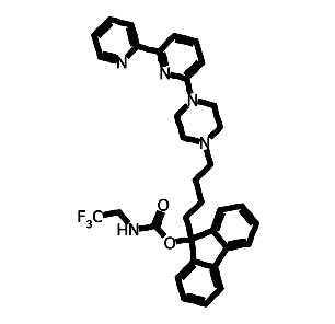 O=C(NCC(F)(F)F)OC1(CCCCN2CCN(c3cccc(-c4ccccn4)n3)CC2)c2ccccc2-c2ccccc21